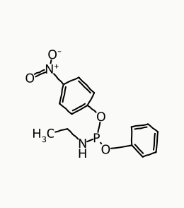 CCNP(Oc1ccccc1)Oc1ccc([N+](=O)[O-])cc1